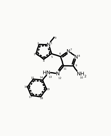 Cn1cccc1C1=NN=C(N)/C1=N/Nc1ccccc1